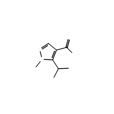 CC(C)c1c(C(=O)O)cnn1C